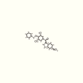 O=C(c1cc(Cl)c(OCc2ccccc2)c(Cl)c1)N1CCc2cc([N+](=O)[O-])ccc21